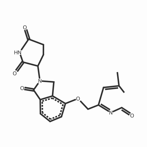 CC(C)=C/C(COc1cccc2c1CN(C1CCC(=O)NC1=O)C2=O)=N\C=O